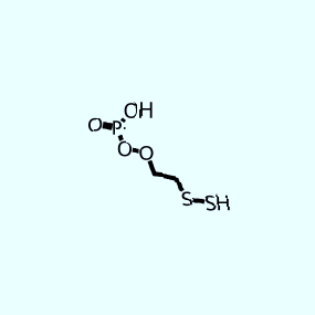 O=[P](O)OOCCSS